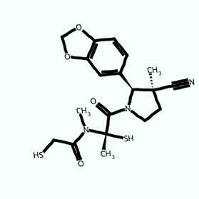 CN(C(=O)CS)[C@@](C)(S)C(=O)N1CC[C@](C)(C#N)[C@@H]1c1ccc2c(c1)OCO2